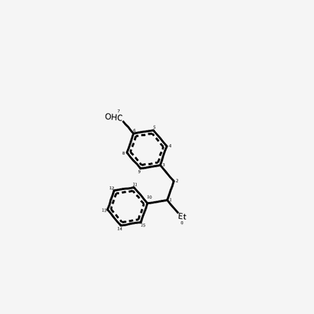 CCC(Cc1ccc(C=O)cc1)c1ccccc1